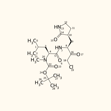 CC(C)C[C@@H](C(=O)N[C@@H](C[C@@H]1CCNC1=O)C(=O)CCl)N(C)C(=O)OC(C)(C)C